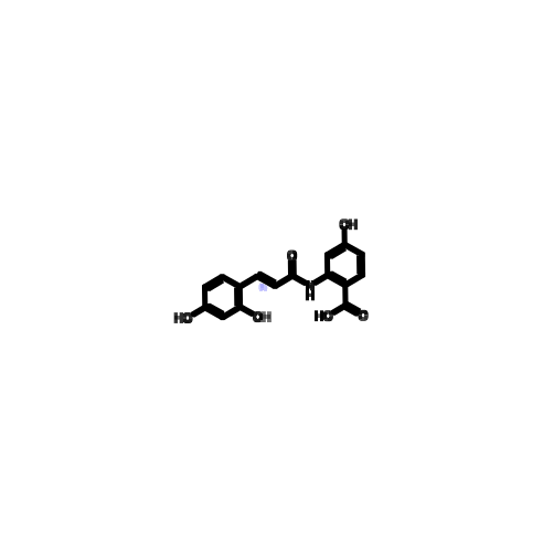 O=C(/C=C/c1ccc(O)cc1O)Nc1cc(O)ccc1C(=O)O